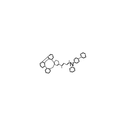 C/C(=C\C=C(/C)N(c1ccccc1)c1ccc(-c2ccccc2)cc1)C1=CC2=C(CC1)c1cccc3c1Cc1c(cccc1-3)-c1ccccc1C2